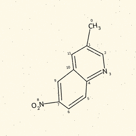 Cc1cnc2ccc([N+](=O)[O-])cc2c1